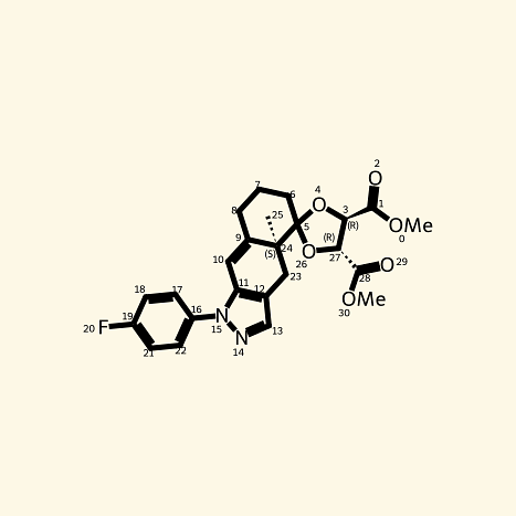 COC(=O)[C@@H]1OC2(CCCC3=Cc4c(cnn4-c4ccc(F)cc4)C[C@@]32C)O[C@H]1C(=O)OC